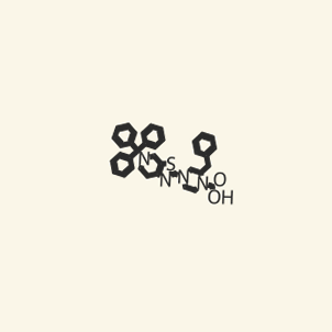 O=C(O)N1CCN(c2nc3c(s2)CN(C(c2ccccc2)(c2ccccc2)c2ccccc2)CC3)CC1Cc1ccccc1